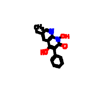 CCc1cnc2c(c1)c(O)c(-c1ccccc1)c(=O)n2O